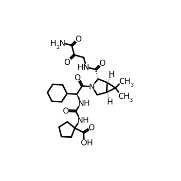 CC1(C)[C@@H]2[C@@H](C(=O)NCC(=O)C(N)=O)N(C(=O)[C@@H](NC(=O)NC3(C(=O)O)CCCC3)C3CCCCC3)C[C@@H]21